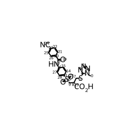 Cn1nnnc1SCC(CS(=O)(=O)c1ccc(NC(=O)c2ccc(C#N)cc2)cc1)C(=O)O